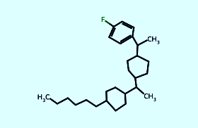 CCCCCCC1CCC(C(C)C2CCC(C(C)c3ccc(F)cc3)CC2)CC1